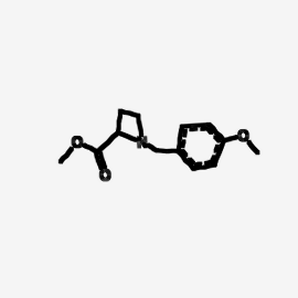 COC(=O)C1CCN1Cc1ccc(OC)cc1